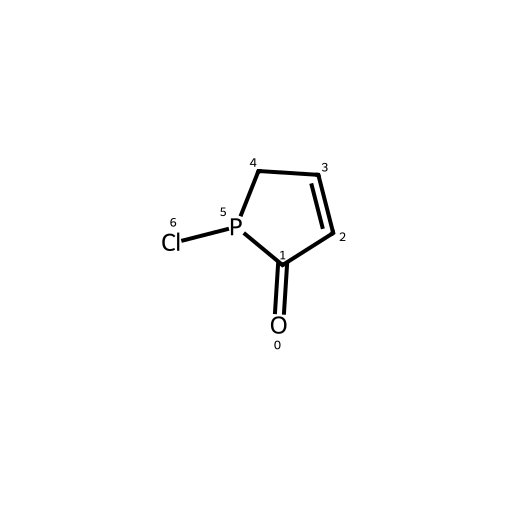 O=C1C=CCP1Cl